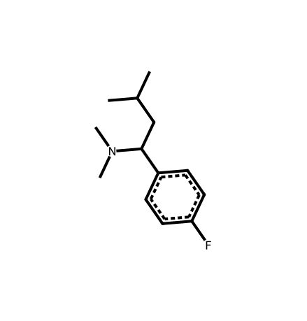 CC(C)CC(c1ccc(F)cc1)N(C)C